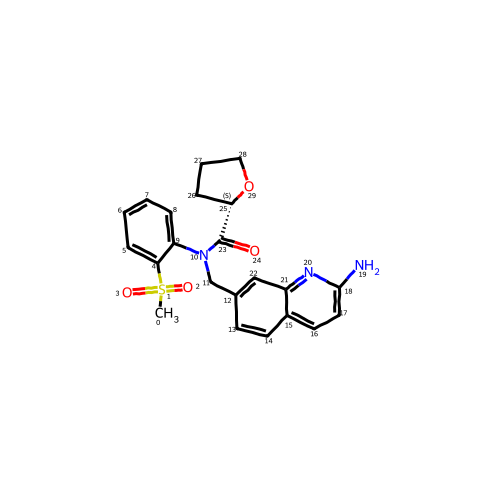 CS(=O)(=O)c1ccccc1N(Cc1ccc2ccc(N)nc2c1)C(=O)[C@@H]1CCCO1